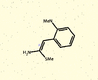 CNc1ccccc1/C=C(/N)SC